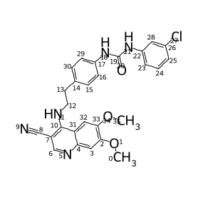 COc1cc2ncc(C#N)c(NCCc3ccc(NC(=O)Nc4cccc(Cl)c4)cc3)c2cc1OC